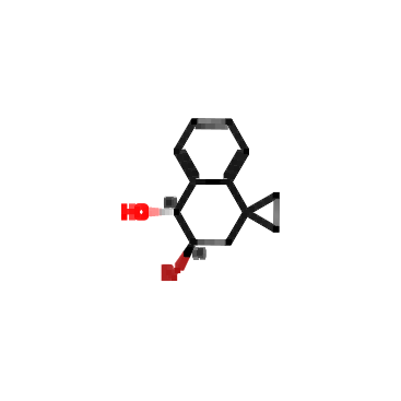 O[C@@H]1c2ccccc2C2(CC2)C[C@H]1Br